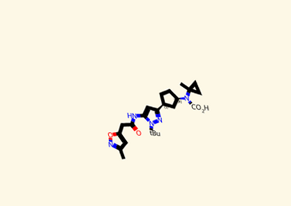 Cc1cc(CC(=O)Nc2cc([C@H]3CC[C@@H](N(C(=O)O)C4(C)CC4)C3)nn2C(C)(C)C)on1